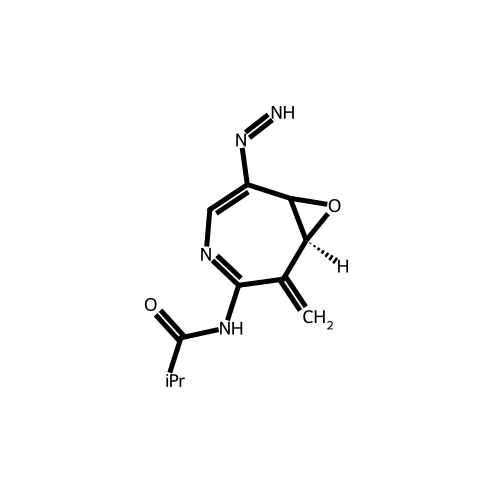 C=C1C(NC(=O)C(C)C)=NC=C(N=N)C2O[C@@H]12